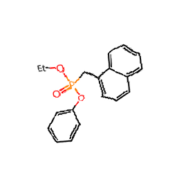 CCOP(=O)(Cc1cccc2ccccc12)Oc1ccccc1